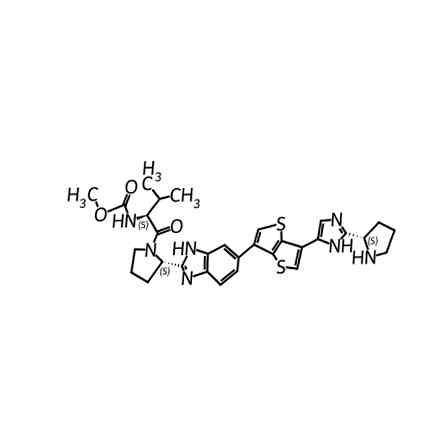 COC(=O)N[C@H](C(=O)N1CCC[C@H]1c1nc2ccc(-c3csc4c(-c5cnc([C@@H]6CCCN6)[nH]5)csc34)cc2[nH]1)C(C)C